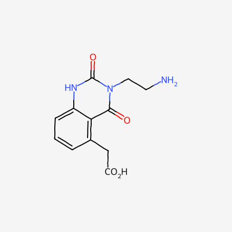 NCCn1c(=O)[nH]c2cccc(CC(=O)O)c2c1=O